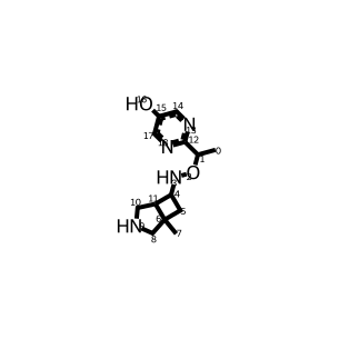 CC(ONC1CC2(C)CNCC12)c1ncc(O)cn1